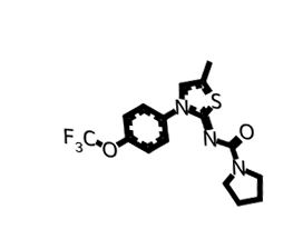 Cc1cn(-c2ccc(OC(F)(F)F)cc2)c(=NC(=O)N2CCCC2)s1